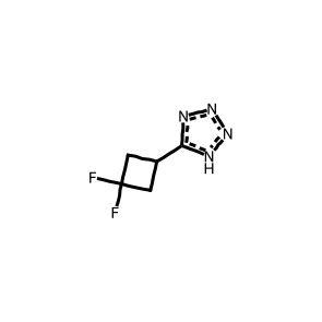 FC1(F)CC(c2nnn[nH]2)C1